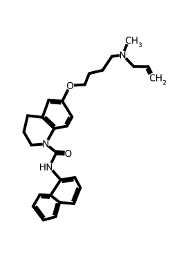 C=CCN(C)CCCCOc1ccc2c(c1)CCCN2C(=O)Nc1cccc2ccccc12